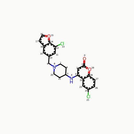 O=c1cc(NC2CCN(Cc3cc(Cl)c4occc4c3)CC2)c2cc(Cl)ccc2o1